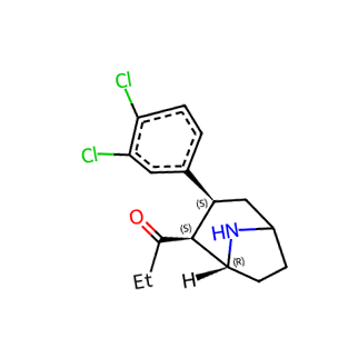 CCC(=O)[C@H]1[C@@H](c2ccc(Cl)c(Cl)c2)CC2CC[C@H]1N2